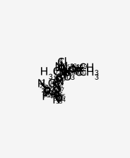 Cc1nc(Cl)nc2c1n(-c1ccc(C(=O)N3CCc4c(n(Cc5ccc(C#N)cc5F)c5ncccc45)C3)nc1)c(=O)n2C1CCN(CC(C)(C)C)CC1